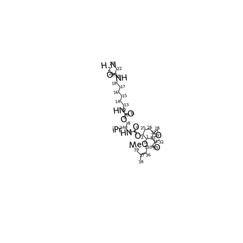 COC1C(OC(=O)N[C@@H](COC(=O)NCCCCCCNC(=O)CN)C(C)C)CCC2(CO2)C1C1(C)O[C@@H]1CC=C(C)C